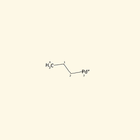 CC[CH2][Pd+]